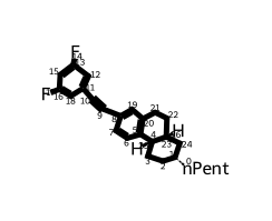 CCCCC[C@@H]1CC[C@@H]2c3ccc(C#Cc4cc(F)cc(F)c4)cc3CC[C@@H]2C1